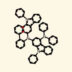 c1ccc(-c2ccccc2N(c2ccc3c(c2)c2ccccc2n3-c2ccccc2)c2cc(N(c3ccccc3)c3ccccc3)c3c4ccccc4n(-c4ccccc4)c3c2)cc1